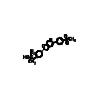 CC(C)(O)CN1CCC([C@H]2Cc3cc(-c4ccc(S(C)(=O)=O)cc4)ncc3O2)CC1